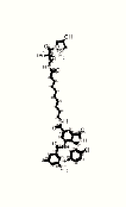 CC(C)(C)[C@@]1(C(=O)N2CC(O)C[SiH2]2)SC1NC(=O)CCCCCCCCCNC(=O)c1cc(NC(=O)c2cc(F)cc(C(F)(F)F)c2)c2c(c1)C(=O)N[C@H]2c1cc(F)ccc1Cl